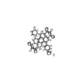 Cc1ccc(-c2cc3c4c(ccc5c6c(-c7ccc(C(F)(F)F)cc7)cc7c8c(ccc(c2c45)c86)C(=O)N(C)C7=O)C(=O)N(C)C3=O)cc1